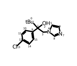 CC(C)(C)C(O)(Cn1ccnc1)c1ccc(Cl)cc1